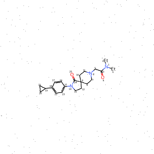 CCN(CC)C(=O)CN1CCC2(CC1)CCN(c1ccc(C3CC3)cc1)C2=O